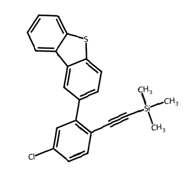 C[Si](C)(C)C#Cc1ccc(Cl)cc1-c1ccc2sc3ccccc3c2c1